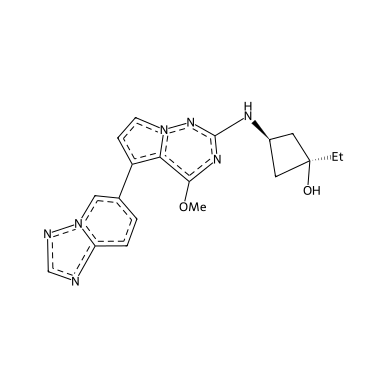 CC[C@]1(O)C[C@@H](Nc2nc(OC)c3c(-c4ccc5ncnn5c4)ccn3n2)C1